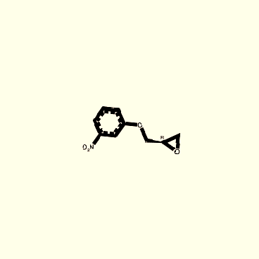 O=[N+]([O-])c1cccc(OC[C@H]2CO2)c1